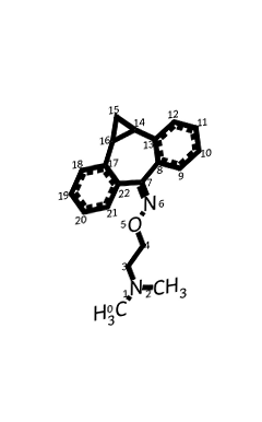 CN(C)CCON=C1c2ccccc2C2CC2c2ccccc21